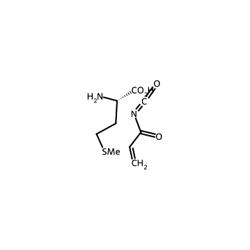 C=CC(=O)N=C=O.CSCC[C@H](N)C(=O)O